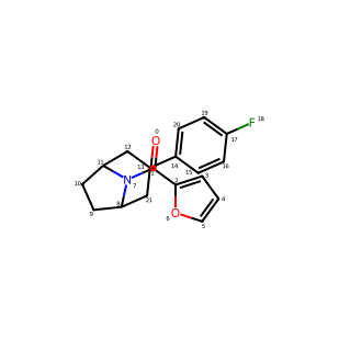 O=C(c1ccco1)N1C2CCC1CC(c1ccc(F)cc1)C2